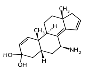 C[C@@]12CC=CC1=C1[C@@H](N)C[C@@H]3CC(O)(O)C=C[C@]3(C)[C@H]1CC2